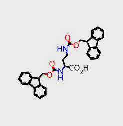 O=C(NCCC(NC(=O)OCC1c2ccccc2-c2ccccc21)C(=O)O)OCC1c2ccccc2-c2ccccc21